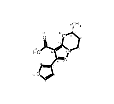 C[C@@H]1CCn2nc(-c3ccoc3)c(C(=O)O)c2O1